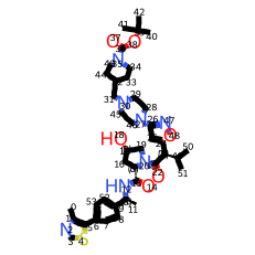 Cc1ncsc1-c1ccc([C@H](C)NC(=O)[C@@H]2C[C@@H](O)CN2C(=O)[C@@H](c2cc(N3CCN(CC4CCN(C(=O)OC(C)(C)C)CC4)CC3)no2)C(C)C)cc1